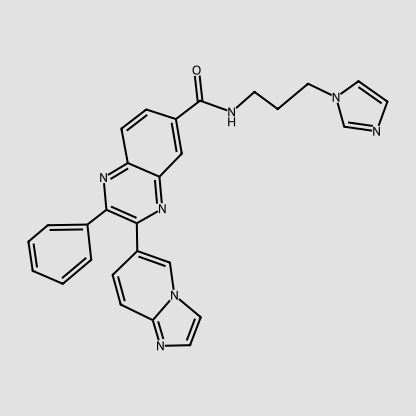 O=C(NCCCn1ccnc1)c1ccc2nc(-c3ccccc3)c(-c3ccc4nccn4c3)nc2c1